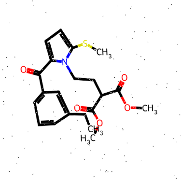 CCc1cccc(C(=O)c2ccc(SC)n2CCC(C(=O)OC)C(=O)OC)c1